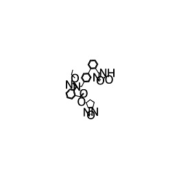 CCOc1nc2cccc(C(=O)OC3CCc4nonc43)c2n1Cc1ccc(-c2ccccc2-c2noc(=O)[nH]2)cc1